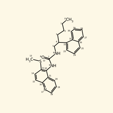 CCCCC(CNC(=O)Nc1c(SC)ccc2ncccc12)c1cccc2ccccc12